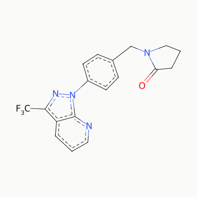 O=C1CCCN1Cc1ccc(-n2nc(C(F)(F)F)c3cccnc32)cc1